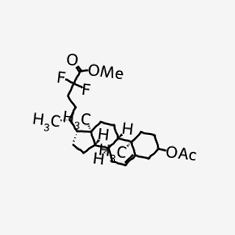 COC(=O)C(F)(F)CC[C@@H](C)[C@H]1CC[C@H]2[C@@H]3CC=C4CC(OC(C)=O)CC[C@]4(C)[C@H]3CC[C@]12C